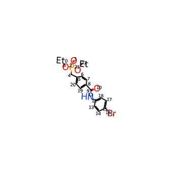 CCOP(=O)(Cc1ccc(C(=O)Nc2ccc(Br)cc2)cc1)OCC